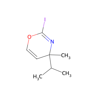 CC(C)C1(C)C=COC(I)=N1